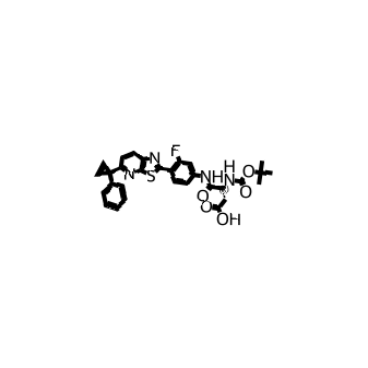 CC(C)(C)OC(=O)N[C@H](CC(=O)O)C(=O)Nc1ccc(-c2nc3ccc(C4(c5ccccc5)C=C4)nc3s2)c(F)c1